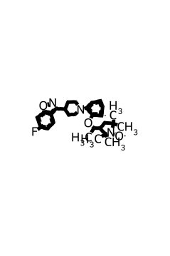 CC(Oc1[c]cccc1N1CCC(c2noc3cc(F)ccc23)CC1)C1CC(C)(C)N([O])C1(C)C